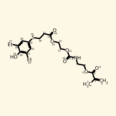 C=C(C)C(=O)OCCNC(=O)OCCOC(=O)CCSc1cc(CC)c(O)c(CC)c1